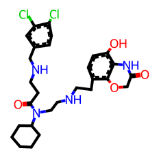 O=C1COc2c(CCNCCN(C(=O)CCNCc3ccc(Cl)c(Cl)c3)C3CCCCC3)ccc(O)c2N1